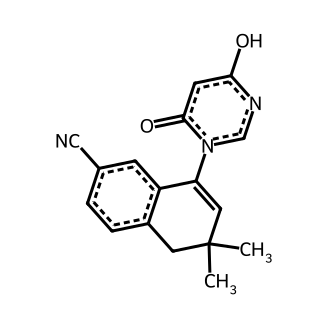 CC1(C)C=C(n2cnc(O)cc2=O)c2cc(C#N)ccc2C1